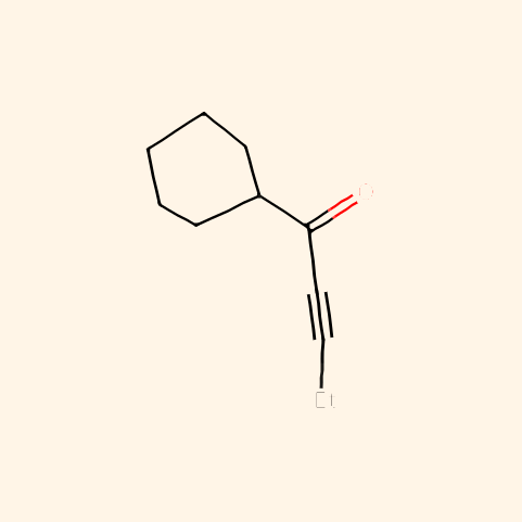 CCC#CC(=O)C1CCCCC1